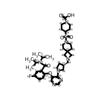 CC(C)N(C(=O)c1cc(F)ccc1Oc1cncnc1N1CC[C@@H](CN2CC3(CCN(S(=O)(=O)C4CCN(C(=O)O)CC4)CC3)C2)C1)C(C)C